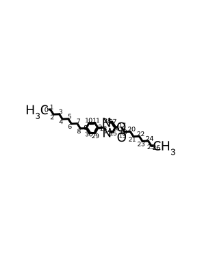 CCCCCCCCCc1ccc(-c2ncc(OC(=O)CCCCCCC)cn2)cc1